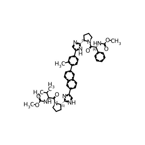 COC(=O)N[C@H](C(=O)N1CCC[C@H]1c1nc(-c2ccc3cc(-c4ccc(-c5cnc([C@@H]6CCCN6C(=O)[C@H](NC(=O)OC)c6ccccc6)[nH]5)cc4C)ccc3c2)c[nH]1)C(C)C